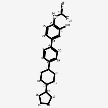 Fc1cc(-c2ccc(C3CCC(C4CCCC4)CC3)cc2)ccc1OC(F)F